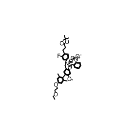 CCOCCOc1cc(C)c(-c2cc(CN(c3ccc(CCC(=O)OC(C)(C)C)c(F)c3)S(=O)(=O)c3ccccc3[N+](=O)[O-])ccc2OC)c(C)c1